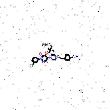 CNCC(C)(C)COc1c(N2CCN(SCc3ccc(N)cc3)CC2)cnn(-c2cccc(Cl)c2)c1=O